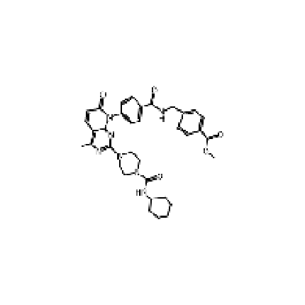 COC(=O)c1ccc(CNC(=O)c2ccc(-n3c(=O)ccc4c(C)nc(N5CCN(C(=O)NC6CCCCC6)CC5)nc43)cc2)cc1